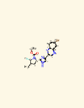 C[C@@H]1C[C@@H](c2nc(-c3cnc4cc(Br)ccc4n3)c[nH]2)N(C(=O)OC(C)(C)C)[C@@H]1F